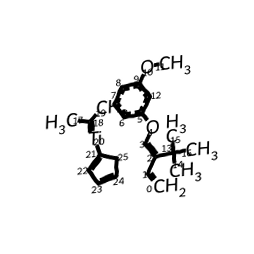 C=CC(=COc1cccc(OC)c1)C(C)(C)C.C[C](C)=[Ti][C]1=CC=CC1